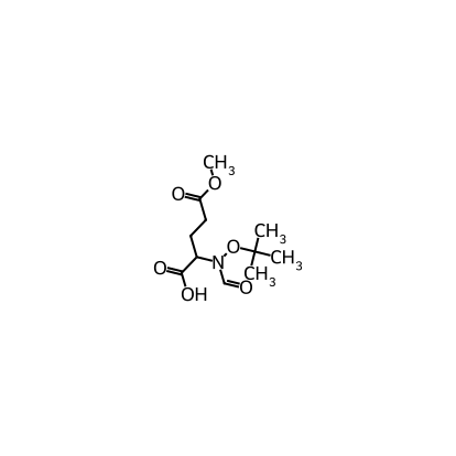 COC(=O)CCC(C(=O)O)N(C=O)OC(C)(C)C